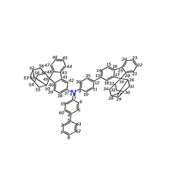 c1ccc(-c2ccc(N(c3ccc(-c4ccc5c(c4)C4(c6ccccc6-5)C5CC6CC(C5)CC4C6)cc3)c3ccc4c(c3)-c3ccccc3C43C4CC5CC(C4)CC3C5)cc2)cc1